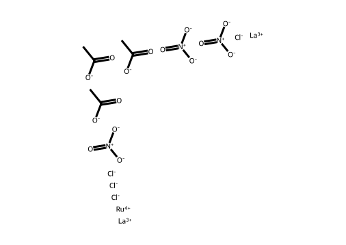 CC(=O)[O-].CC(=O)[O-].CC(=O)[O-].O=[N+]([O-])[O-].O=[N+]([O-])[O-].O=[N+]([O-])[O-].[Cl-].[Cl-].[Cl-].[Cl-].[La+3].[La+3].[Ru+4]